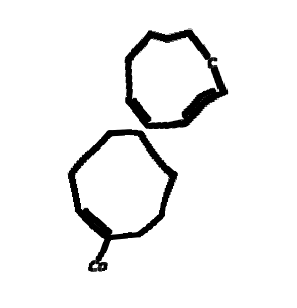 C1=CCCCCC=C1.[Co][C]1=CCCCCCC1